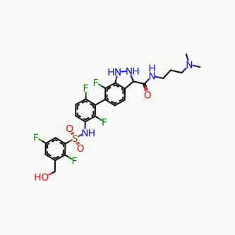 CN(C)CCCNC(=O)C1NNc2c1ccc(-c1c(F)ccc(NS(=O)(=O)c3cc(F)cc(CO)c3F)c1F)c2F